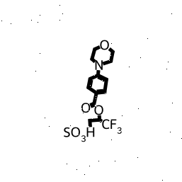 O=C(OC(CS(=O)(=O)O)C(F)(F)F)c1ccc(N2CCOCC2)cc1